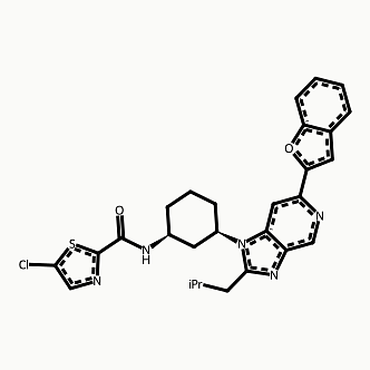 CC(C)Cc1nc2cnc(-c3cc4ccccc4o3)cc2n1[C@@H]1CCC[C@H](NC(=O)c2ncc(Cl)s2)C1